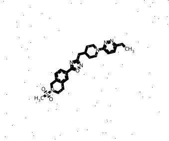 CCc1ccc(N2CCC(Cc3noc(-c4ccc5c(c4)CCN(S(C)(=O)=O)C5)n3)CC2)nn1